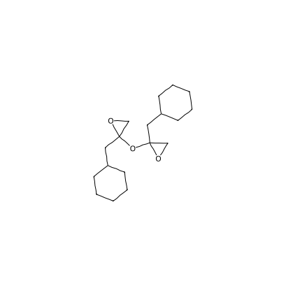 C1CCC(CC2(OC3(CC4CCCCC4)CO3)CO2)CC1